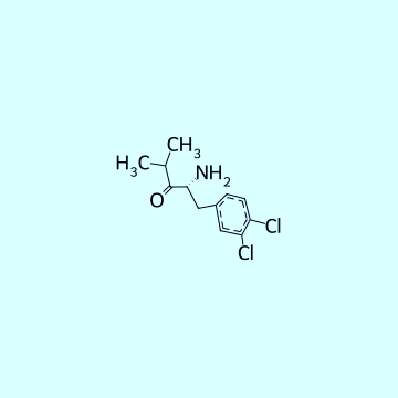 CC(C)C(=O)[C@H](N)Cc1ccc(Cl)c(Cl)c1